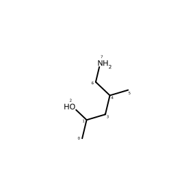 CC(O)CC(C)CN